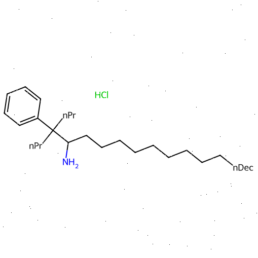 CCCCCCCCCCCCCCCCCCCC(N)C(CCC)(CCC)c1ccccc1.Cl